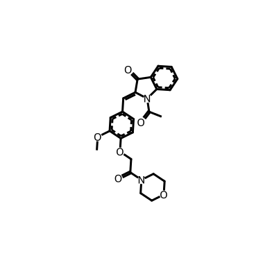 COc1cc(/C=C2/C(=O)c3ccccc3N2C(C)=O)ccc1OCC(=O)N1CCOCC1